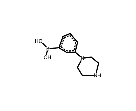 OB(O)c1cccc(N2CCNCC2)c1